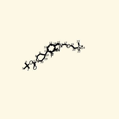 CC(C)(C)OC(=O)N1CCC(c2ccc3cn(COCC[Si](C)(C)C)nc3c2F)CC1